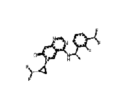 C[C@@H](Nc1ncnc2cc(=O)n([C@H]3C[C@@H]3C(F)F)cc12)c1cccc(C(F)F)c1F